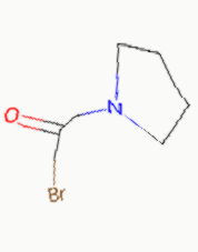 O=C(Br)N1CCCC1